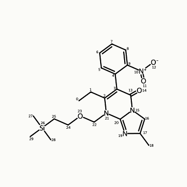 CCc1c(-c2ccccc2[N+](=O)[O-])c(=O)n2cc(C)nc2n1COCC[Si](C)(C)C